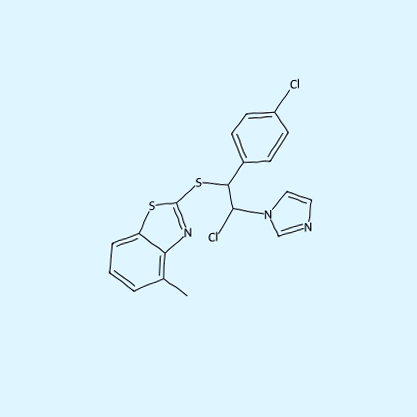 Cc1cccc2sc(SC(c3ccc(Cl)cc3)C(Cl)n3ccnc3)nc12